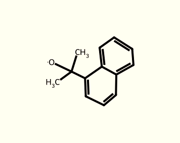 CC(C)([O])c1cccc2ccccc12